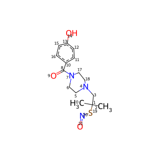 CC(C)(CN1CCN(C(=O)c2ccc(O)cc2)CC1)SN=O